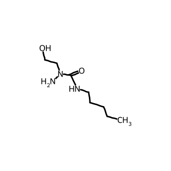 CCCCCNC(=O)N(N)CCO